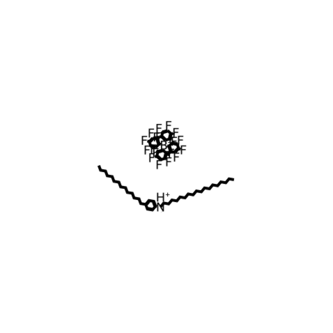 CCCCCCCCCCCCCCCCCC[NH+](C)c1ccc(CCCCCCCCCCCCCC)cc1.Fc1c(F)c(F)c([B-](c2c(F)c(F)c(F)c(F)c2F)(c2c(F)c(F)c(F)c(F)c2F)c2c(F)c(F)c(F)c(F)c2F)c(F)c1F